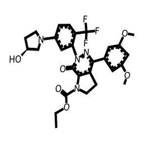 CCOC(=O)N1CCc2c(-c3cc(OC)cc(OC)c3)nn(-c3cc(N4CC[C@H](O)C4)ccc3C(F)(F)F)c(=O)c21